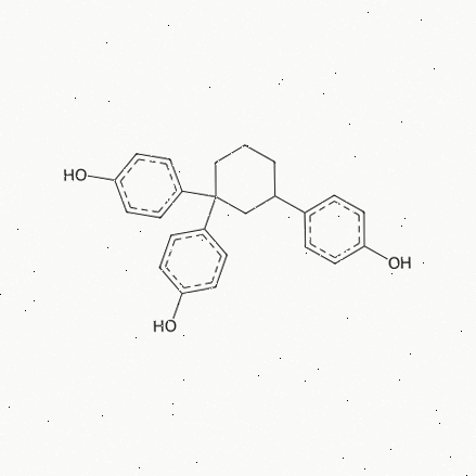 Oc1ccc(C2CCCC(c3ccc(O)cc3)(c3ccc(O)cc3)C2)cc1